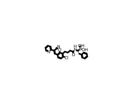 N#CC(=Cc1ccc(Cl)c(CCCC(=O)N[C@@H](Cc2ccccc2)B(O)O)c1Cl)c1ccccn1